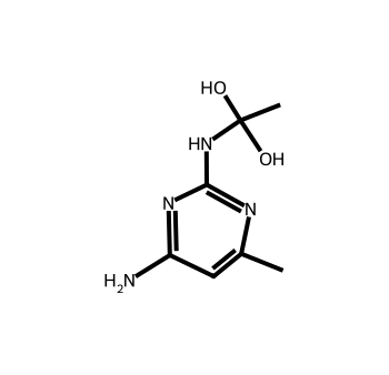 Cc1cc(N)nc(NC(C)(O)O)n1